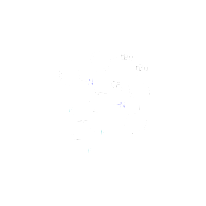 CC(C)(C)c1ccc2c3ccccc3n(-c3cc(-c4c(F)ccc(F)c4F)cc(-n4c5ccccc5c5ccc(C(C)(C)C)cc54)c3C(F)(F)F)c2c1